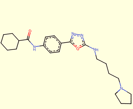 O=C(Nc1ccc(-c2nnc(NCCCCN3CCCC3)o2)cc1)C1CCCCC1